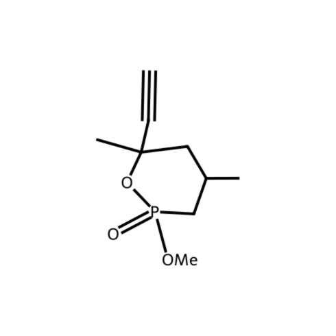 C#CC1(C)CC(C)CP(=O)(OC)O1